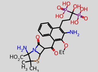 CCOc1c(N)c(CCC(O)(P(=O)(O)O)P(=O)(O)O)c2ccccc2c1C(=O)C1C(=O)N2C1SC(C)(C)C2(N)C(=O)O